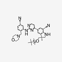 CC(C)(C)[Si](C)(C)OC[C@@]1(C)CNc2c(C#N)cc(-c3ccnc(Nc4cc(C#N)ccc4CN4CCOCC4)n3)cc21